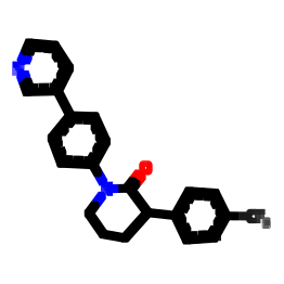 O=C1C(c2c[c]c(C(F)(F)F)cc2)CCCN1c1ccc(-c2cccnc2)cc1